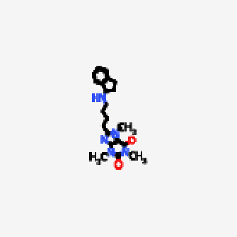 Cn1c(=O)c2c(nc(CCCCNC3CCc4ccccc43)n2C)n(C)c1=O